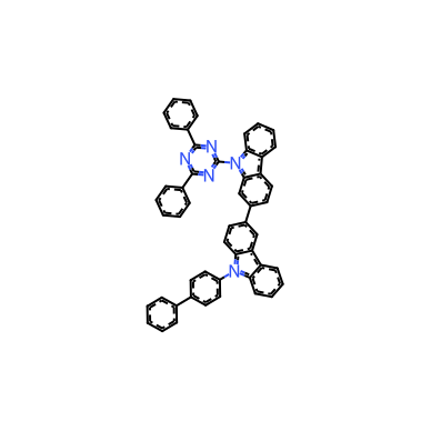 c1ccc(-c2ccc(-n3c4ccccc4c4cc(-c5ccc6c7ccccc7n(-c7nc(-c8ccccc8)nc(-c8ccccc8)n7)c6c5)ccc43)cc2)cc1